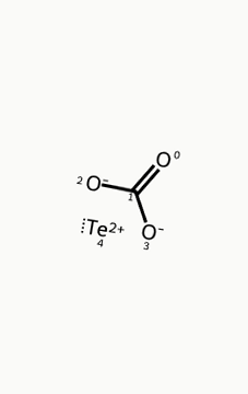 O=C([O-])[O-].[Te+2]